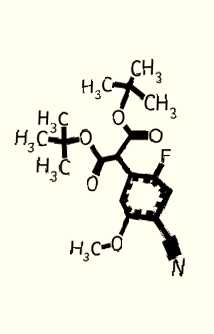 COc1cc(C(C(=O)OC(C)(C)C)C(=O)OC(C)(C)C)c(F)cc1C#N